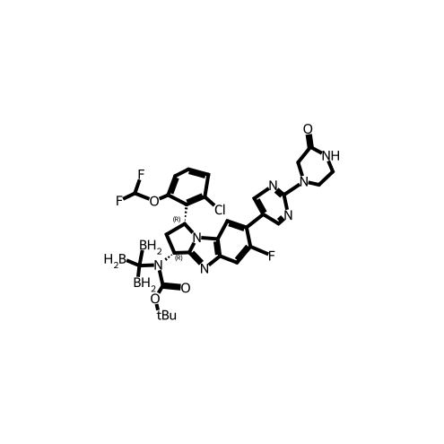 BC(B)(B)N(C(=O)OC(C)(C)C)[C@@H]1C[C@H](c2c(Cl)cccc2OC(F)F)n2c1nc1cc(F)c(-c3cnc(N4CCNC(=O)C4)nc3)cc12